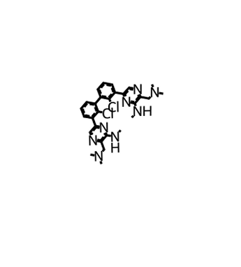 CNc1nc(-c2cccc(-c3cccc(-c4cnc(CN(C)C)c(NC)n4)c3Cl)c2Cl)cnc1CN(C)C